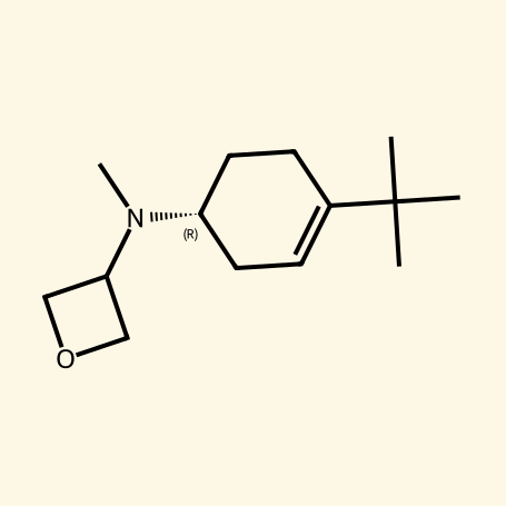 CN(C1COC1)[C@H]1CC=C(C(C)(C)C)CC1